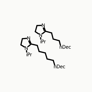 CCCCCCCCCCCCCC1=NCCN1C(C)C.CCCCCCCCCCCCCCCC1=NCCN1C(C)C